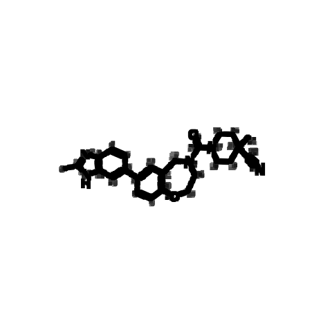 Cc1nc2ccc(-c3ccc4c(c3)CN(C(=O)N3CCC(C)(C#N)CC3)CCO4)cc2[nH]1